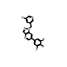 Fc1cncc(Cn2ncc3ncc(-c4cc(F)c(F)c(F)c4)cc32)c1